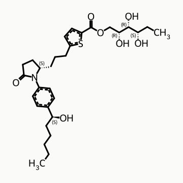 CCCCC[C@H](O)c1ccc(N2C(=O)CC[C@@H]2CCCc2ccc(C(=O)OC[C@@H](O)[C@H](O)[C@@H](O)CC)s2)cc1